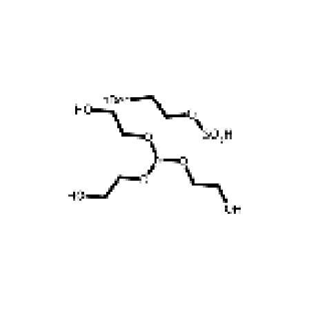 CCCCCCCCCCCCOS(=O)(=O)O.OCCON(OCCO)OCCO